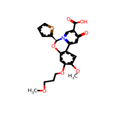 COCCCOc1cc2c(cc1OC)-c1cc(=O)c(C(=O)O)cn1[C@H](c1cccs1)O2